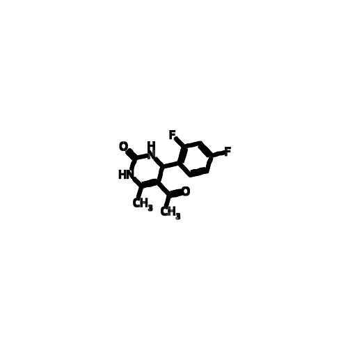 CC(=O)C1=C(C)NC(=O)NC1c1ccc(F)cc1F